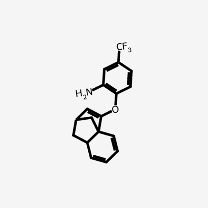 Nc1cc(C(F)(F)F)ccc1OC1=CC2CC3C=CC=CC13C2